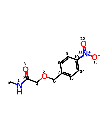 CNC(=O)COCc1ccc([N+](=O)[O-])cc1